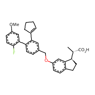 COc1ccc(F)c(-c2ccc(COc3ccc4c(c3)[C@@H]([C@H](C)C(=O)O)CC4)cc2C2=CCCC2)c1